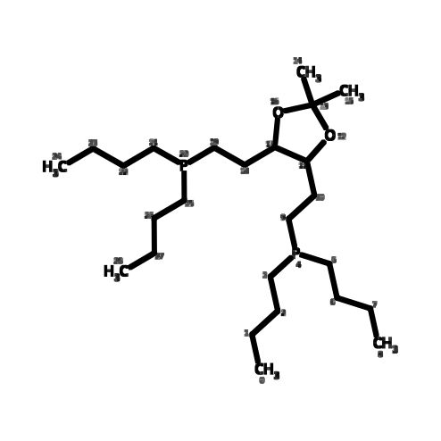 CCCCP(CCCC)CCC1OC(C)(C)OC1CCP(CCCC)CCCC